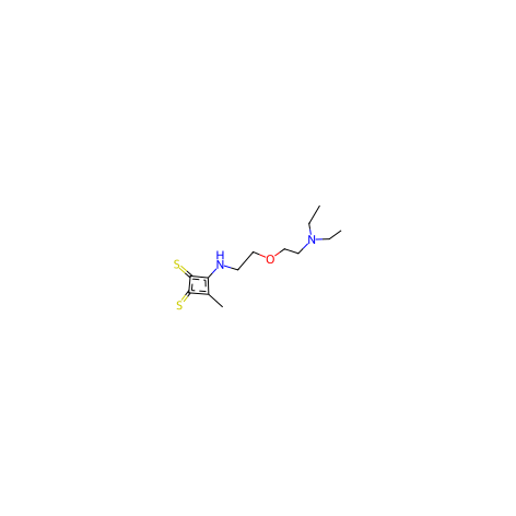 CCN(CC)CCOCCNc1c(C)c(=S)c1=S